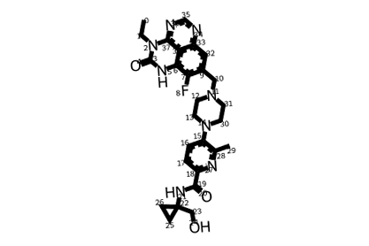 CCN1C(=O)Nc2c(F)c(CN3CCN(c4ccc(C(=O)NC5(CO)CC5)nc4C)CC3)cc3ncnc1c23